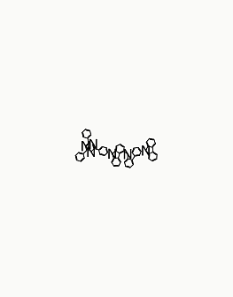 c1ccc(-c2nc(-c3ccccc3)nc(-c3ccc(-n4c5ccccc5c5c(-n6c7ccccc7c7cc(-n8c9ccccc9c9ccccc98)ccc76)cccc54)cc3)n2)cc1